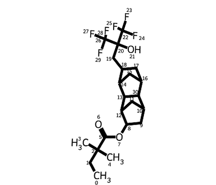 CCC(C)(C)C(=O)OC1CC2CC1C1C3CC(CC3CC(O)(C(F)(F)F)C(F)(F)F)C21